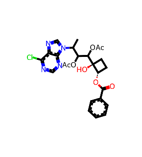 CC(=O)OC(C(C)n1cnc2c(Cl)ncnc21)C(OC(C)=O)[C@]1(O)CC[C@@H]1OC(=O)c1ccccc1